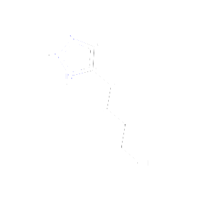 CCCCCc1[c]nn[nH]1